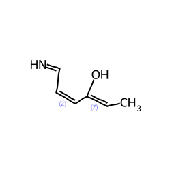 C/C=C(O)/C=C\C=N